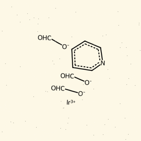 O=C[O-].O=C[O-].O=C[O-].[Ir+3].c1ccncc1